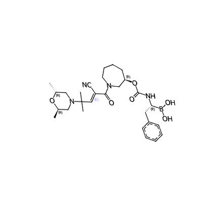 C[C@@H]1CN(C(C)(C)/C=C(\C#N)C(=O)N2CCCC[C@@H](OC(=O)N[C@@H](Cc3ccccc3)B(O)O)C2)C[C@@H](C)O1